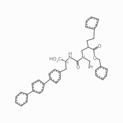 CC(C)CN(CC(CCc1ccccc1)C(=O)OCc1ccccc1)C(=O)N[C@@H](Cc1ccc(-c2ccc(-c3ccccc3)cc2)cc1)C(=O)O